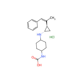 CC(=Cc1ccccc1)[C@H]1C[C@@H]1NC1CCC(NC(=O)O)CC1.Cl